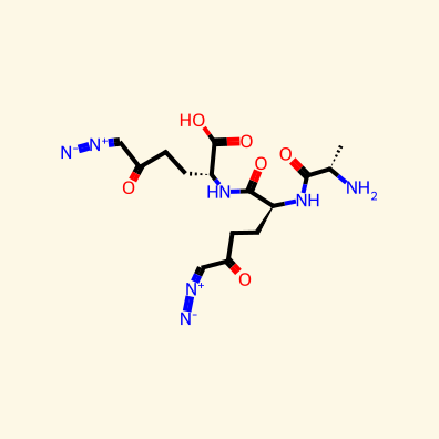 C[C@H](N)C(=O)N[C@@H](CCC(=O)C=[N+]=[N-])C(=O)N[C@H](CCC(=O)C=[N+]=[N-])C(=O)O